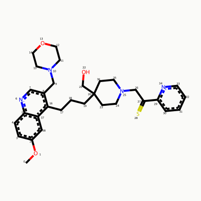 COc1ccc2ncc(CN3CCOCC3)c(CCCC3(CO)CCN(CC(=S)c4ccccn4)CC3)c2c1